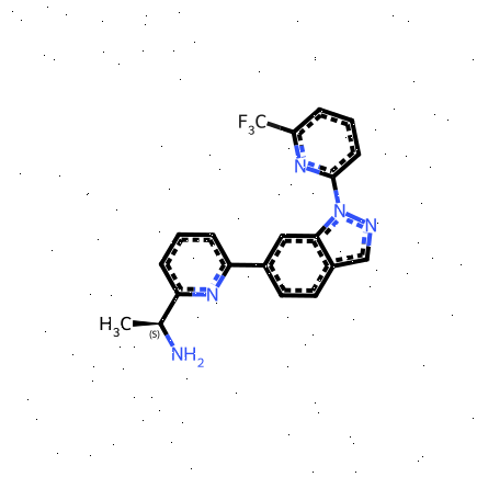 C[C@H](N)c1cccc(-c2ccc3cnn(-c4cccc(C(F)(F)F)n4)c3c2)n1